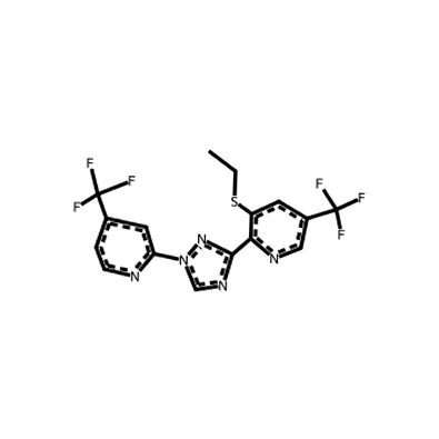 CCSc1cc(C(F)(F)F)cnc1-c1ncn(-c2cc(C(F)(F)F)ccn2)n1